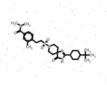 Cc1cc(C(=O)N(C)C)ccc1CCS(=O)(=O)N1CCC2(CC1)N=C(C1CCC(C(C)(C)C)CC1)NC2=O